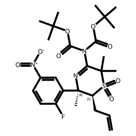 C=CC[C@H]1[C@@](C)(c2cc([N+](=O)[O-])ccc2F)N=C(N(C(=O)OC(C)(C)C)C(=O)OC(C)(C)C)C(C)(C)S1(=O)=O